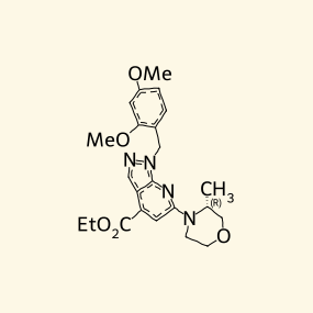 CCOC(=O)c1cc(N2CCOC[C@H]2C)nc2c1cnn2Cc1ccc(OC)cc1OC